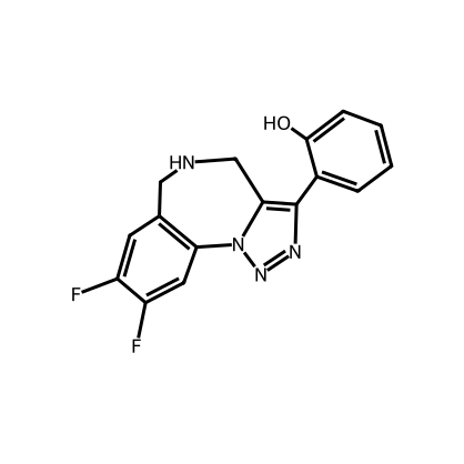 Oc1ccccc1-c1nnn2c1CNCc1cc(F)c(F)cc1-2